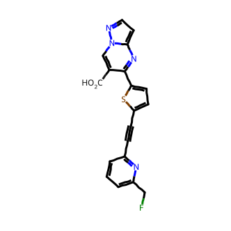 O=C(O)c1cn2nccc2nc1-c1ccc(C#Cc2cccc(CF)n2)s1